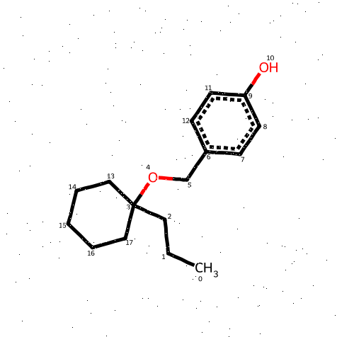 CCCC1(OCc2ccc(O)cc2)CCCCC1